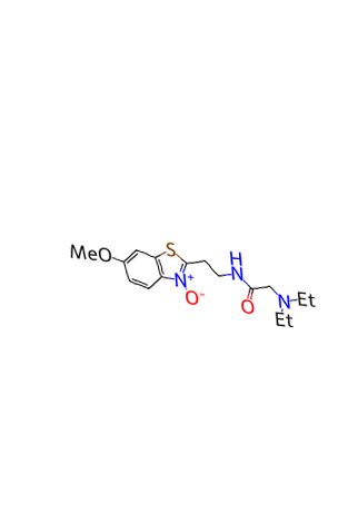 CCN(CC)CC(=O)NCCc1sc2cc(OC)ccc2[n+]1[O-]